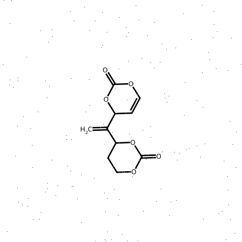 C=C(C1C=COC(=O)O1)C1CCOC(=O)O1